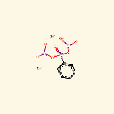 O=P(OP([O-])[O-])(OP([O-])[O-])c1ccccc1.[Zn+2].[Zn+2]